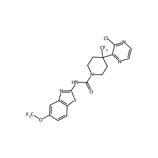 O=C(Nc1nc2cc(OC(F)(F)F)ccc2s1)N1CCC(c2nccnc2Cl)(C(F)(F)F)CC1